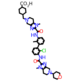 Cc1c(NC(=O)c2nc3c(n2C)CCN(CC2CCC(C(=O)O)CC2)C3)cccc1-c1cccc(NC(=O)c2nc3c(n2C)CCN(C2CCOCC2)C3)c1Cl